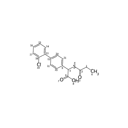 CCC(=O)SC(C(=O)O)c1ccc(-c2ccccc2Cl)cc1